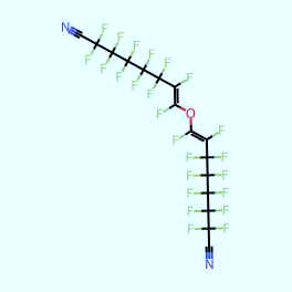 N#CC(F)(F)C(F)(F)C(F)(F)C(F)(F)C(F)(F)C(F)=C(F)OC(F)=C(F)C(F)(F)C(F)(F)C(F)(F)C(F)(F)C(F)(F)C#N